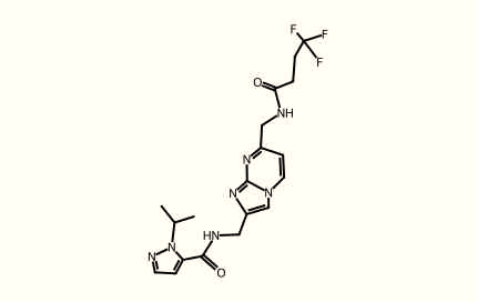 CC(C)n1nccc1C(=O)NCc1cn2ccc(CNC(=O)CCC(F)(F)F)nc2n1